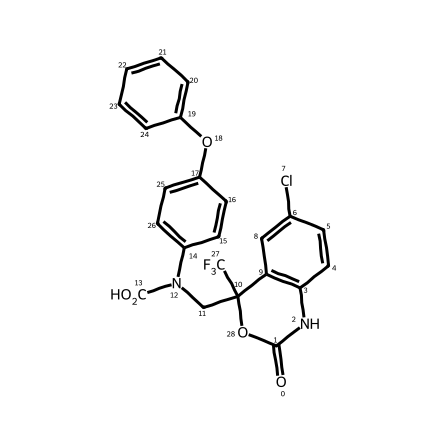 O=C1Nc2ccc(Cl)cc2C(CN(C(=O)O)c2ccc(Oc3ccccc3)cc2)(C(F)(F)F)O1